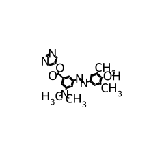 Cc1cc(/N=N/c2cc(C(=O)Oc3cncnc3)cc(N(C)C)c2)cc(C)c1O